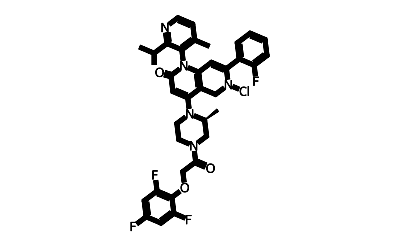 Cc1ccnc(C(C)C)c1-n1c2c(c(N3CCN(C(=O)COc4c(F)cc(F)cc4F)C[C@@H]3C)cc1=O)CN(Cl)C(c1ccccc1F)=C2